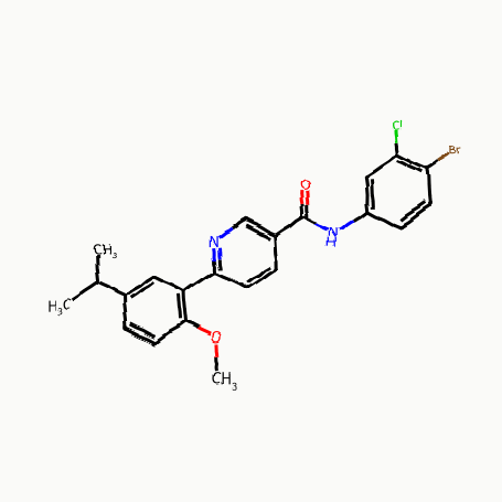 COc1ccc(C(C)C)cc1-c1ccc(C(=O)Nc2ccc(Br)c(Cl)c2)cn1